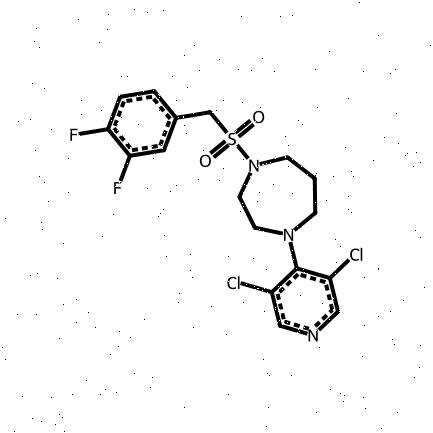 O=S(=O)(Cc1ccc(F)c(F)c1)N1CCCN(c2c(Cl)cncc2Cl)CC1